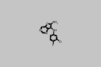 Nc1oc2cncnc2c1Nc1ccc(F)c(Cl)c1